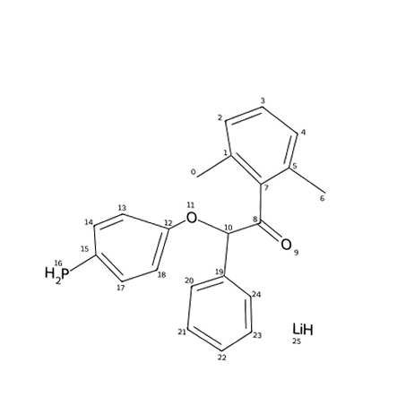 Cc1cccc(C)c1C(=O)C(Oc1ccc(P)cc1)c1ccccc1.[LiH]